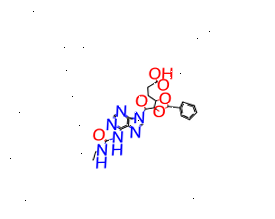 CCNC(=O)Nc1ncnc2c1ncn2C1OC(CC(=O)O)C2OC(c3ccccc3)OC21